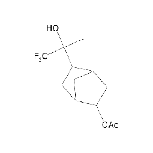 CC(=O)OC1CC2CC1CC2C(C)(O)C(F)(F)F